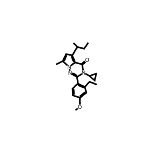 CCc1cc(OC)ccc1-c1nn2c(C)cc(C(C)CC)c2c(=O)n1C1CC1